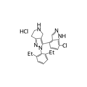 CCc1cccc(CC)c1-n1nc2c(c1-c1ccc(Cl)c3[nH]ncc13)CNCC2.Cl